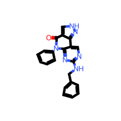 O=c1c2c[nH]nc2c2cnc(NCc3ccccc3)nc2n1-c1ccccc1